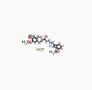 COc1cc2c(cc1OC)CCN(C(=O)CCNCC1Cc3c(OC)cccc31)CC2.Cl